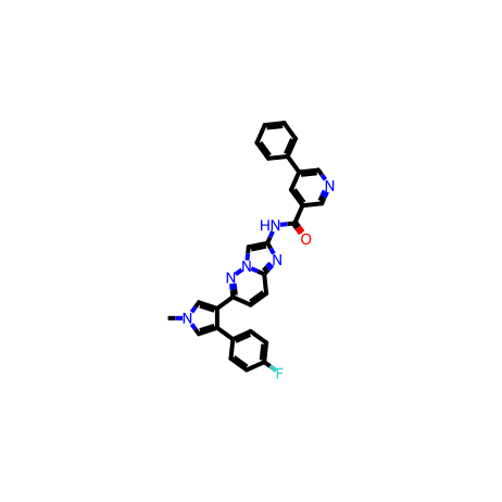 Cn1cc(-c2ccc(F)cc2)c(-c2ccc3nc(NC(=O)c4cncc(-c5ccccc5)c4)cn3n2)c1